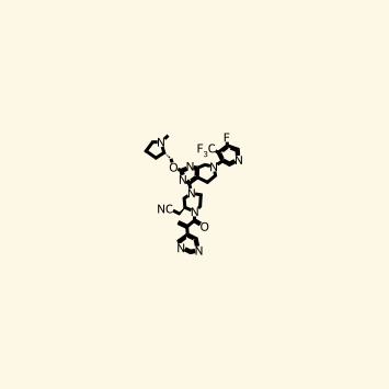 C=C(C(=O)N1CCN(c2nc(OC[C@@H]3CCCN3C)nc3c2CCN(c2cncc(F)c2C(F)(F)F)C3)C[C@@H]1CC#N)c1cncnc1